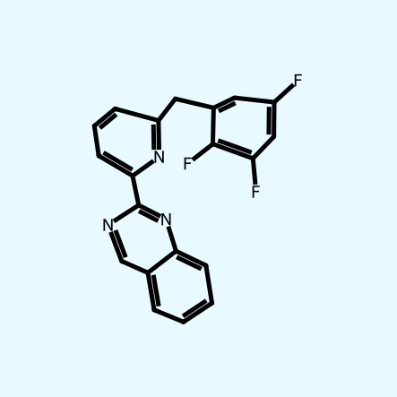 Fc1cc(F)c(F)c(Cc2cccc(-c3ncc4ccccc4n3)n2)c1